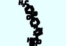 Cc1ccc(S(=O)(=O)N2CCN(c3ncc(C(=O)NO)s3)CC2)cc1